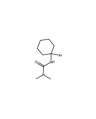 CC(=O)C1(NC(=O)N(C)C)CCCCC1